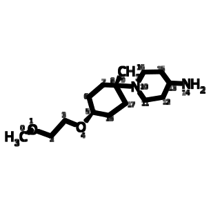 COCCO[C@H]1CC[C@](C)(N2CCC(N)CC2)CC1